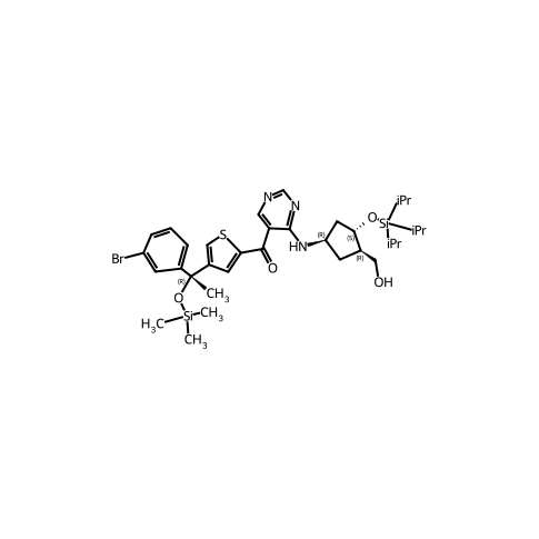 CC(C)[Si](O[C@H]1C[C@H](Nc2ncncc2C(=O)c2cc([C@](C)(O[Si](C)(C)C)c3cccc(Br)c3)cs2)C[C@@H]1CO)(C(C)C)C(C)C